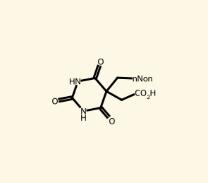 CCCCCCCCCCC1(CC(=O)O)C(=O)NC(=O)NC1=O